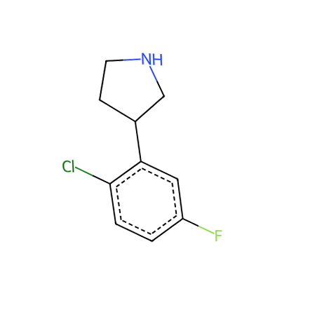 Fc1ccc(Cl)c(C2CCNC2)c1